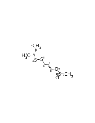 CCC(C)SSC/C=C/OS(C)=O